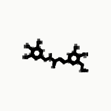 CSCc1cc(/C=C/C(=S)NCc2cc(O)c(O)c(O)c2)cc(O)c1O